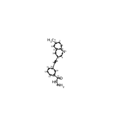 Cc1ccc2ncc(C#Cc3cccc(C(=O)NN)c3)cc2c1